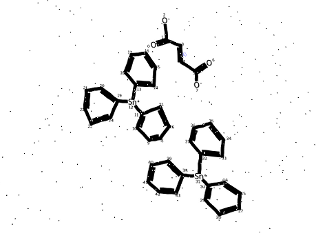 O=C([O-])/C=C/C(=O)[O-].c1cc[c]([Sn+]([c]2ccccc2)[c]2ccccc2)cc1.c1cc[c]([Sn+]([c]2ccccc2)[c]2ccccc2)cc1